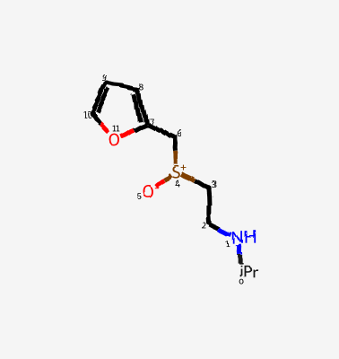 CC(C)NCC[S+]([O-])Cc1ccco1